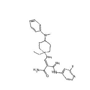 CCC1(N/C=C(\C(=N)Nc2ccnc(F)c2)C(N)=O)CCC(N(C)c2ccccc2)CC1